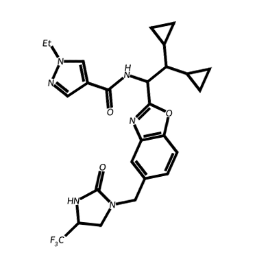 CCn1cc(C(=O)NC(c2nc3cc(CN4CC(C(F)(F)F)NC4=O)ccc3o2)C(C2CC2)C2CC2)cn1